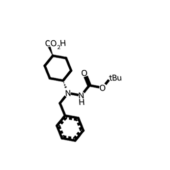 CC(C)(C)OC(=O)NN(Cc1ccccc1)[C@H]1CC[C@H](C(=O)O)CC1